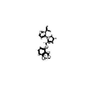 CC(C)n1nccc1N1CCC[C@H]1COc1cccc(O)c1C=O